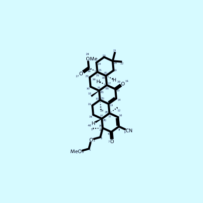 COCOC[C@]1(C)C(=O)C(C#N)=C[C@]2(C)C3=CC(=O)[C@@H]4[C@@H]5CC(C)(C)CC[C@]5(C(=O)OC)CC[C@@]4(C)[C@]3(C)CC[C@H]21